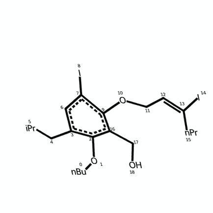 CCCCOc1c(CC(C)C)cc(I)c(OC/C=C(/I)CCC)c1CO